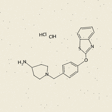 Cl.Cl.NC1CCN(Cc2ccc(Oc3nc4ccccc4s3)cc2)CC1